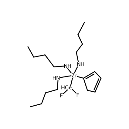 CCCC[NH][Zr]([NH]CCCC)([NH]CCCC)([C]1=CC=CC1)[GeH]([F])[F]